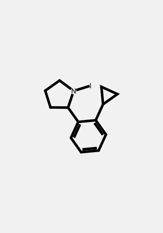 IN1CCCC1c1ccccc1C1CC1